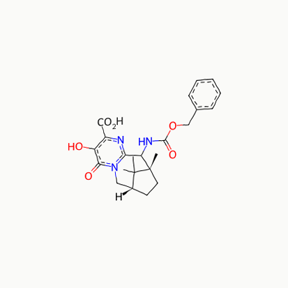 CC1(C)[C@@H]2CC[C@@]1(C)C(NC(=O)OCc1ccccc1)c1nc(C(=O)O)c(O)c(=O)n1C2